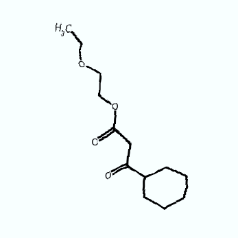 CCOCCOC(=O)CC(=O)C1CCCCC1